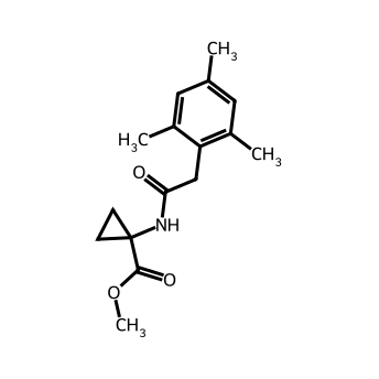 COC(=O)C1(NC(=O)Cc2c(C)cc(C)cc2C)CC1